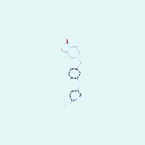 Cc1ccc(Nc2cc(CN3CCN4C(=O)OC[C@@H]4C3)ccc2F)cn1